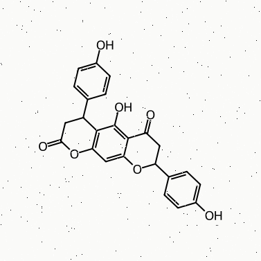 O=C1CC(c2ccc(O)cc2)c2c(cc3c(c2O)C(=O)CC(c2ccc(O)cc2)O3)O1